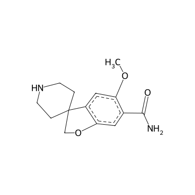 COc1cc2c(cc1C(N)=O)OCC21CCNCC1